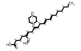 C1CNCCN1.CCCCCCC=CC=CCC=CCC=C(CCCC(=O)O)OO